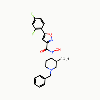 O=C(O)[C@H]1CN(Cc2ccccc2)CC[C@@H]1N(O)C(=O)c1cc(-c2ccc(F)cc2F)on1